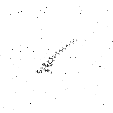 CCCCCCCCCCCCCCc1ccc(NC(=O)C(N)CN)cc1